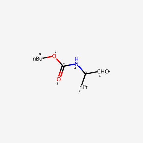 CCCCOC(=O)NC([C]=O)CCC